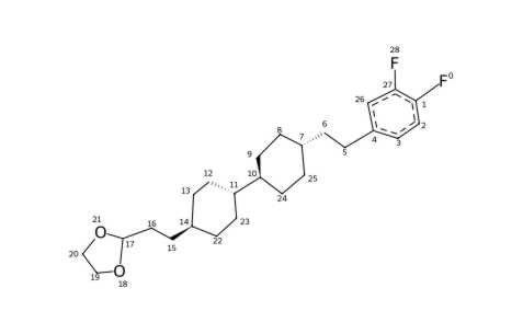 Fc1ccc(CC[C@H]2CC[C@H]([C@H]3CC[C@H](CCC4OCCO4)CC3)CC2)cc1F